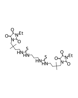 CCN1C(=O)C(=O)N(CC(C)(C)CCNC(=S)NCCCNC(=S)NCCC(C)(C)CN2C(=O)C(=O)N(CC)C2=O)C1=O